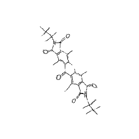 Cc1c(C)c2c(c(C)c1C(=O)c1c(C)c(C)c3c(c1C)C(=O)N(C(C)(C)C(C)(C)C)C3=O)C(=O)N(C(C)(C)C(C)(C)C)C2=O